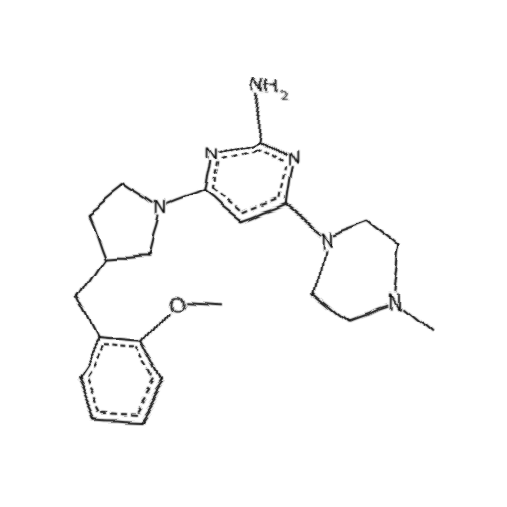 COc1ccccc1CC1CCN(c2cc(N3CCN(C)CC3)nc(N)n2)C1